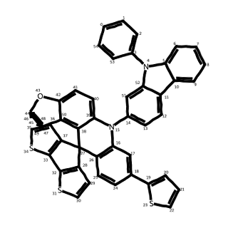 c1ccc(-n2c3ccccc3c3ccc(N4c5cc(-c6cccs6)ccc5C5(c6ccsc6-c6sccc65)c5c4ccc4oc6ccccc6c54)cc32)cc1